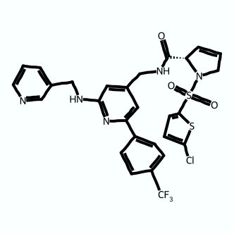 O=C(NCc1cc(NCc2cccnc2)nc(-c2ccc(C(F)(F)F)cc2)c1)[C@@H]1C=CCN1S(=O)(=O)c1ccc(Cl)s1